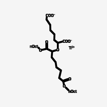 CCCCCCCCOC(=O)CCCCCC(OC(CCCCCC(=O)[O-])C(=O)[O-])C(=O)OCCCCCCCC.[Ti+2]